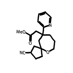 COC(=O)CC1(c2ccccn2)CCCOC2(CCC(C#N)C2)C1